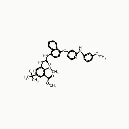 COC(=O)c1cc(C(C)(C)C)cc(NC(=O)Nc2ccc(Oc3ccnc(Nc4cccc(OC)c4)c3)c3ccccc23)c1OC